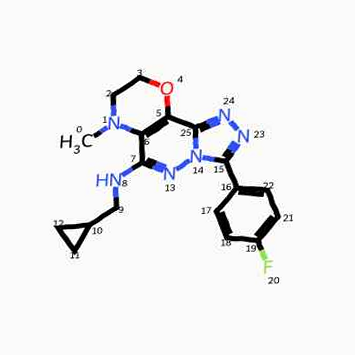 CN1CCOc2c1c(NCC1CC1)nn1c(-c3ccc(F)cc3)nnc21